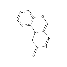 O=C1CN2C(=COc3ccccc32)N=N1